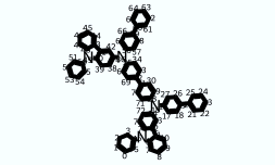 C1=CCCC(n2c3ccccc3c3cc(N(c4ccc(-c5ccccc5)cc4)c4ccc(-c5ccc(N(C6=CCC7C(=C6)c6ccccc6N7c6ccccc6)c6ccc(-c7ccccc7)cc6)cc5)cc4)ccc32)=C1